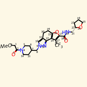 COCC(=O)N1CCC(Cn2cc3c(n2)-c2c(oc(C(=O)NC[C@@H]4CCCO4)c2C(F)(F)F)CC3)CC1